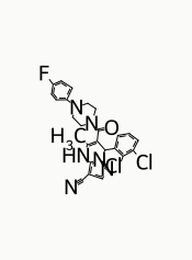 CC1=C(C(=O)N2CCN(c3ccc(F)cc3)CC2)C(c2cccc(Cl)c2Cl)n2ncc(C#N)c2N1